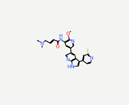 COc1ncc(-c2cnc3[nH]cc(-c4ccnc(F)c4)c3c2)cc1NC(=O)/C=C/CN(C)C